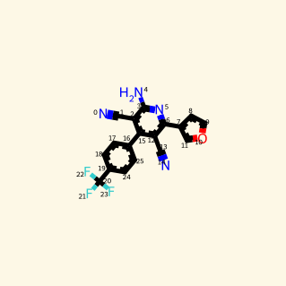 N#Cc1c(N)nc(-c2ccoc2)c(C#N)c1-c1ccc(C(F)(F)F)cc1